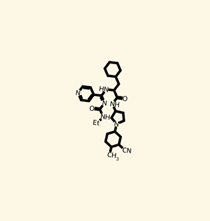 CCNC(=O)N=C(NC(CC1CCCCC1)C(=O)NC1CCN(C2CCC(C)C(C#N)C2)C1)c1ccncc1